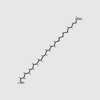 CCCCCCCCCCCCCCCCCCCCCCCCCCCCCCCCCCCCC(C)(C)C